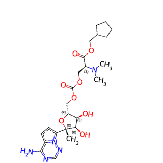 CN(C)[C@@H](COC(=O)OC[C@H]1O[C@@](C)(c2ccc3c(N)ncnn23)[C@H](O)[C@@H]1O)C(=O)OCC1CCCC1